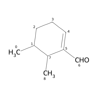 CC1CCC=C(C=O)C1C